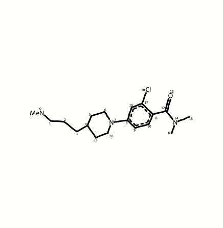 CNCCCC1CCN(c2ccc(C(=O)N(C)C)c(Cl)c2)CC1